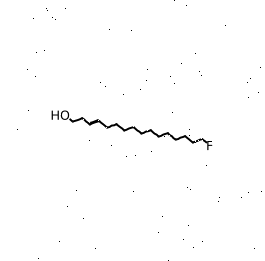 OCCC=CCCCCCCCCCCCCF